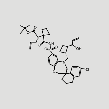 C=CCN(C(=O)OC(C)(C)C)C1(C(=O)NS(=O)(=O)c2ccc3c(c2)N(C[C@@H]2CC[C@H]2C(O)C=C)C[C@@]2(CCCc4cc(Cl)ccc42)CO3)CCC1